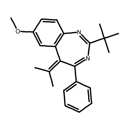 COc1ccc2c(c1)C(=C(C)C)C(c1ccccc1)=NC(C(C)(C)C)=N2